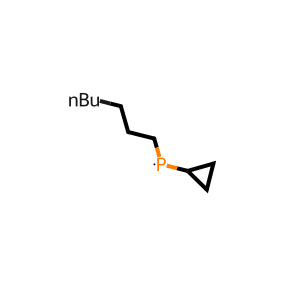 CCCCCCC[P]C1CC1